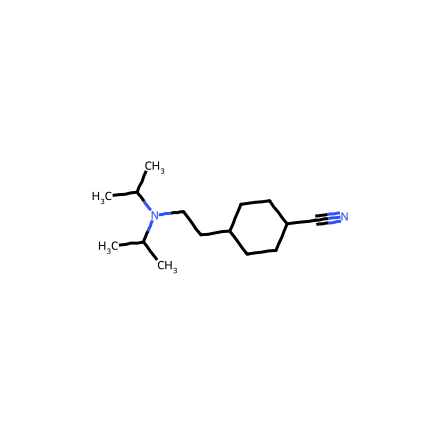 CC(C)N(CCC1CCC(C#N)CC1)C(C)C